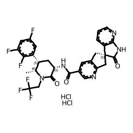 C[C@@H]1[C@H](c2cc(F)cc(F)c2F)C[C@H](NC(=O)c2cnc3c(c2)C[C@@]2(C3)C(=O)Nc3ncccc32)C(=O)N1CC(F)(F)F.Cl.Cl